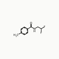 Cc1ccc(C(=O)NCC(F)F)cc1